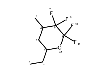 CCC1CC(C)C(F)(F)C(F)(F)O1